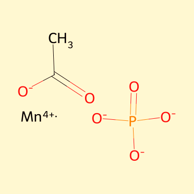 CC(=O)[O-].O=P([O-])([O-])[O-].[Mn+4]